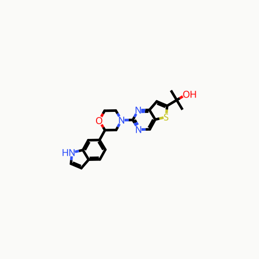 CC(C)(O)c1cc2nc(N3CCOC(c4ccc5cc[nH]c5c4)C3)ncc2s1